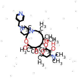 CO[C@]1(C)C[C@@H](C)CN(C)C2(CCN(Cc3ccncc3)CC2)COC(=O)C(C)(C)C(=O)[C@H](C)[C@H]1O[C@@H]1O[C@H](C)C[C@H](N(C)C)[C@H]1O